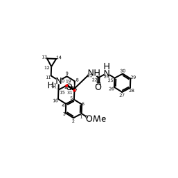 COc1ccc2c(c1)[C@]13CCN(CC4CC4)[C@H](C2)C1OCC(NC(=O)Nc1ccccc1)C3